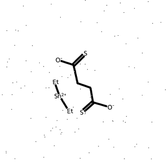 C[CH2][Sn+2][CH2]C.[O-]C(=S)CCC([O-])=S